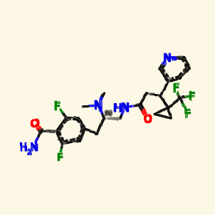 CN(C)[C@H](CNC(=O)CC(c1cccnc1)C1(C(F)(F)F)CC1)Cc1cc(F)c(C(N)=O)c(F)c1